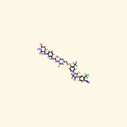 C[C@@H]1CN(CCOc2ccc(N3C(=S)N(c4ccc(C#N)c(C(F)(F)F)c4)C(=O)C3(C)C)cc2C(C)(F)F)C[C@H](C)N1CC(=O)Nc1cccc(NC2CCC(=O)NC2=O)c1